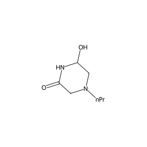 [CH2]CCN1CC(=O)NC(O)C1